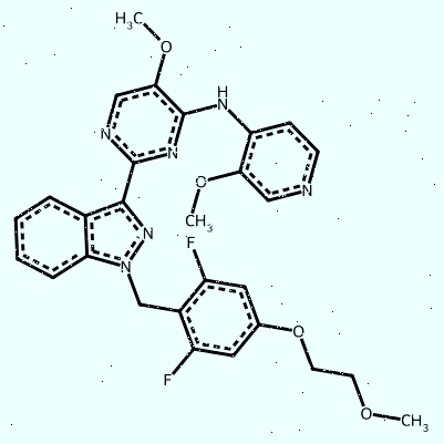 COCCOc1cc(F)c(Cn2nc(-c3ncc(OC)c(Nc4ccncc4OC)n3)c3ccccc32)c(F)c1